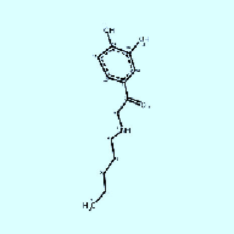 CCCCCNCC(=O)c1ccc(O)c(O)c1